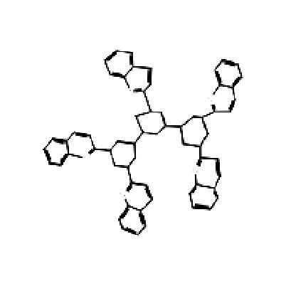 c1ccc2nc(C3CC(c4ccc5ccccc5n4)CC(C4CC(c5ccc6ccccc6n5)CC(C5CC(c6ccc7ccccc7n6)CC(c6ccc7ccccc7n6)C5)C4)C3)ccc2c1